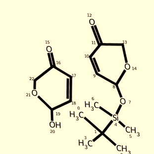 CC(C)(C)[Si](C)(C)OC1C=CC(=O)CO1.O=C1C=CC(O)OC1